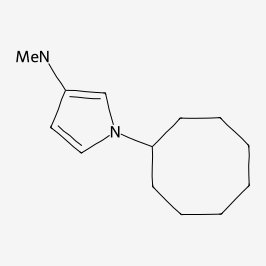 CNc1ccn(C2CCCCCCC2)c1